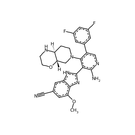 COc1cc(C#N)cc2[nH]c(-c3c(N)ncc(-c4cc(F)cc(F)c4)c3N3CC[C@@H]4NCCO[C@H]4C3)nc12